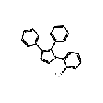 O=[N+]([O-])c1ccccc1-n1cnc(-c2ccccc2)c1-c1ccccc1